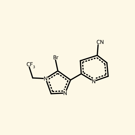 N#Cc1ccnc(-c2ncn(CC(F)(F)F)c2Br)c1